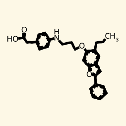 CCCc1cc2cc(-c3ccccc3)oc2cc1OCCCNc1ccc(CC(=O)O)cc1